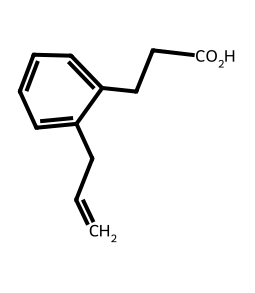 C=CCc1ccccc1CCC(=O)O